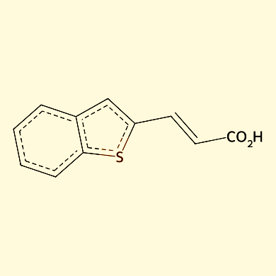 O=C(O)C=Cc1cc2ccccc2s1